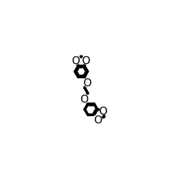 C1=C(OCCOc2ccc3c(c2)OCO3)CCC2=C1OCO2